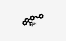 C(=Cc1ccc(-c2ccc3ccccc3c2-c2c[nH]nn2)cc1)c1ccccc1